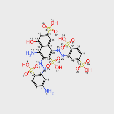 Nc1ccc(S(=O)(=O)O)c(N=Nc2c(S(=O)(=O)O)c(N=Nc3cc(S(=O)(=O)O)ccc3S(=O)(=O)O)c3cc(S(=O)(=O)O)cc(O)c3c2N)c1